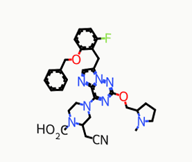 CN1CCCC1COc1nc(N2CCN(C(=O)O)C(CC#N)C2)c2ncc(Cc3c(F)cccc3OCc3ccccc3)n2n1